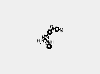 CN(C)C1CCN(C(=O)c2ccc(-c3cnc(N)c(-c4nc5ccccc5[nH]4)n3)cc2)CC1